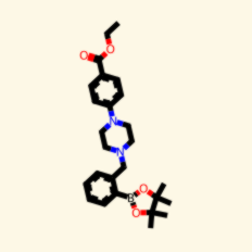 CCOC(=O)c1ccc(N2CCN(Cc3ccccc3B3OC(C)(C)C(C)(C)O3)CC2)cc1